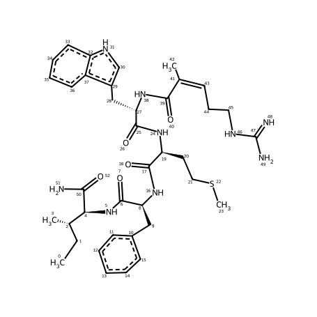 CC[C@H](C)[C@H](NC(=O)[C@H](Cc1ccccc1)NC(=O)[C@H](CCSC)NC(=O)[C@H](Cc1c[nH]c2ccccc12)NC(=O)/C(C)=C\CCNC(=N)N)C(N)=O